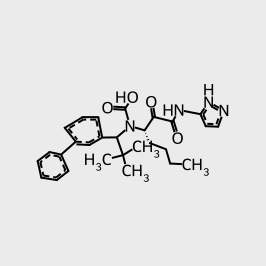 CCCC[C@@H](C(=O)C(=O)Nc1ccn[nH]1)N(C(=O)O)C(c1cccc(-c2ccccc2)c1)C(C)(C)C